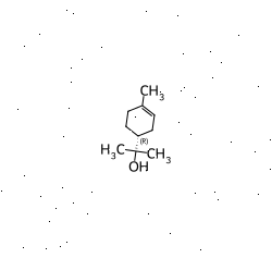 CC1=CC[C@H](C(C)(C)O)CC1